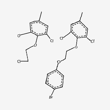 Cc1cc(Cl)c(OCCCl)c(Cl)c1.Cc1cc(Cl)c(OCCOc2ccc(Br)cc2)c(Cl)c1